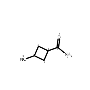 N#CC1CC(C(N)=O)C1